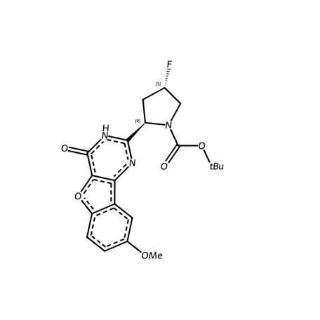 COc1ccc2oc3c(=O)[nH]c([C@H]4C[C@H](F)CN4C(=O)OC(C)(C)C)nc3c2c1